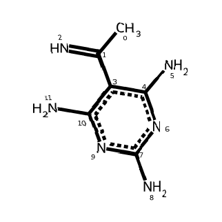 CC(=N)c1c(N)nc(N)nc1N